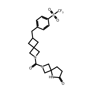 O=C1CCC2(CN(C(=O)N3CC4(CC(Cc5ccc(S(=O)(=O)C(F)(F)F)cc5)C4)C3)C2)N1